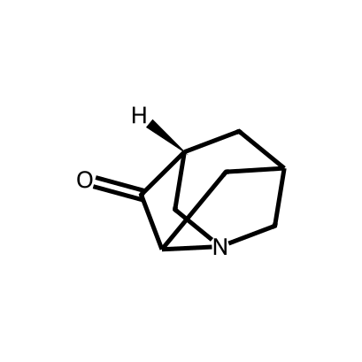 O=C1C2CC3C[C@@H]1CN2C3